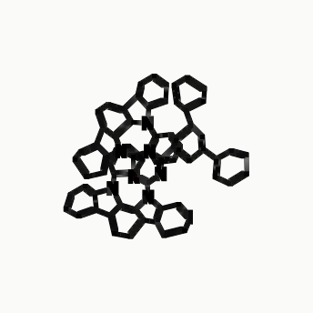 C1=Cc2c(n(-c3nc(-c4cc(-c5ccccc5)cc(-c5ccccc5)c4)nc(-n4c5ccccc5c5ccc6c7ccccc7n(-c7ccccc7)c6c54)n3)c3c2ccc2c4ccccc4n(-c4ccccc4)c23)C=I1